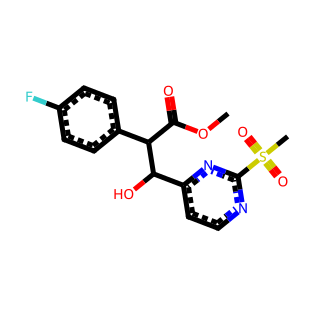 COC(=O)C(c1ccc(F)cc1)C(O)c1ccnc(S(C)(=O)=O)n1